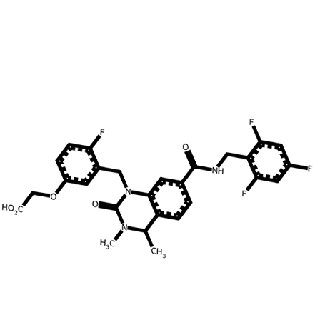 CC1c2ccc(C(=O)NCc3c(F)cc(F)cc3F)cc2N(Cc2cc(OCC(=O)O)ccc2F)C(=O)N1C